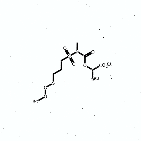 CCCCC(OC(=O)N(C)S(=O)(=O)CCCSOOC(C)C)C(=O)OCC